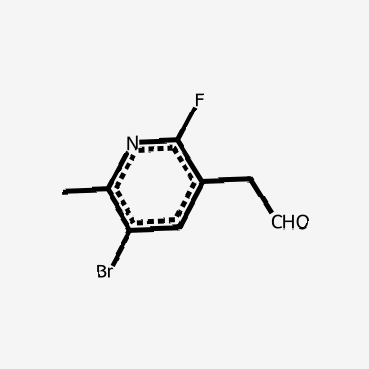 Cc1nc(F)c(CC=O)cc1Br